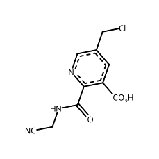 N#CCNC(=O)c1ncc(CCl)cc1C(=O)O